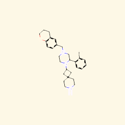 CC(C)c1ccccc1C1CN(Cc2ccc3c(c2)CCCO3)CCN1C1CC2(CCNCC2)C1